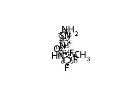 CC(F)(F)c1cc(F)cc2[nH]c(C(=O)N3CCc4nc(N)sc4C3)cc12